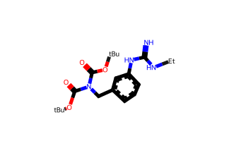 CCNC(=N)Nc1cccc(CN(C(=O)OC(C)(C)C)C(=O)OC(C)(C)C)c1